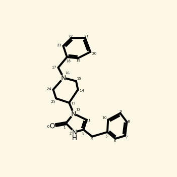 O=c1[nH]c(Cc2ccccc2)cn1C1CCN(Cc2ccccc2)CC1